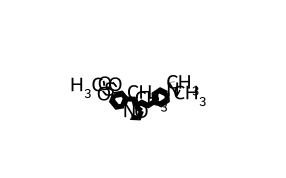 COS(=O)(=O)c1ccc2c(c1)C(C)(C)C1(C=Cc3ccc(N(C)C)cc3)OCCN21